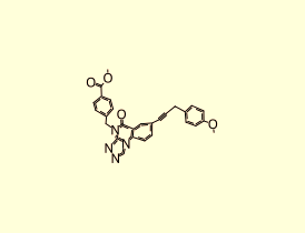 COC(=O)c1ccc(Cn2c(=O)c3cc(C#CCc4ccc(OC)cc4)ccc3n3cnnc23)cc1